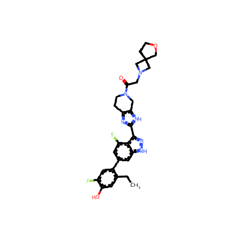 CCc1cc(O)c(F)cc1-c1cc(F)c2c(-c3nc4c([nH]3)CN(C(=O)CN3CC5(CCOC5)C3)CC4)n[nH]c2c1